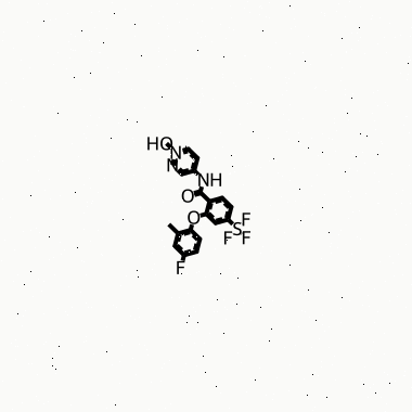 Cc1cc(F)ccc1Oc1cc(S(F)(F)F)ccc1C(=O)Nc1cc[n+](O)nc1